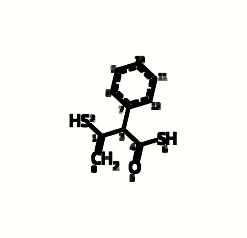 C=C(S)C(C(=O)S)c1ccccc1